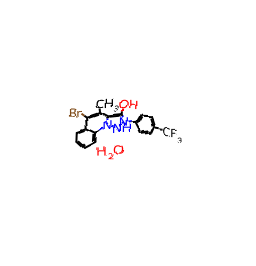 CC1=C(Br)c2ccccc2N2NN(c3ccc(C(F)(F)F)cc3)C(O)=C12.O